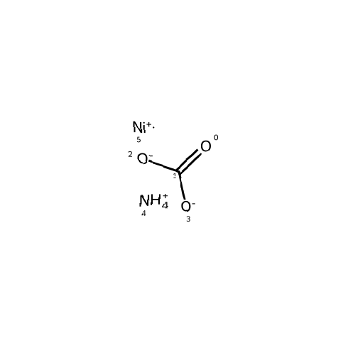 O=C([O-])[O-].[NH4+].[Ni+]